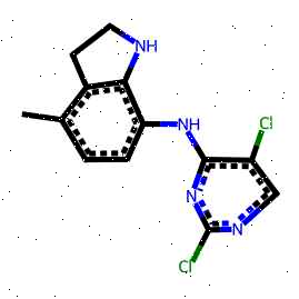 Cc1ccc(Nc2nc(Cl)ncc2Cl)c2c1CCN2